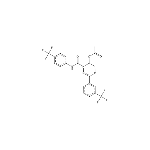 CC(=O)OC1COC(c2cccc(C(F)(F)F)c2)=NN1C(=O)Nc1ccc(C(F)(F)F)cc1